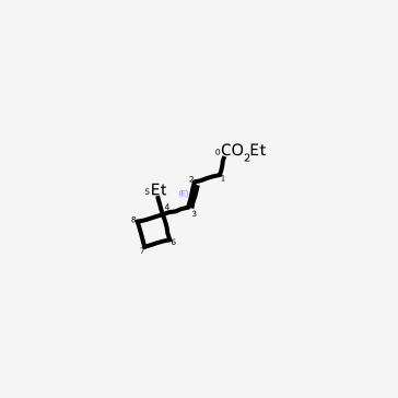 CCOC(=O)C/C=C/C1(CC)CCC1